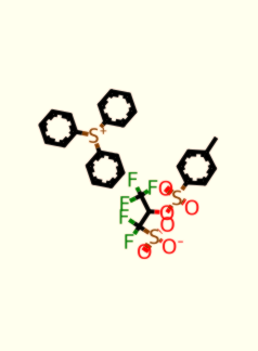 Cc1ccc(S(=O)(=O)OC(C(F)(F)F)C(F)(F)S(=O)(=O)[O-])cc1.c1ccc([S+](c2ccccc2)c2ccccc2)cc1